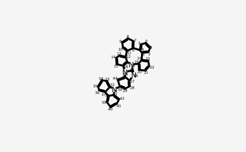 c1ccc2c(c1)c1ccccc1c1cccc3c1n(c1ccccc21)c1nc2ccc(-n4c5ccccc5c5ccccc54)cc2n31